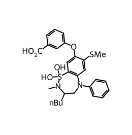 CCCCC1CN(c2ccccc2)c2cc(SC)c(Oc3cccc(C(=O)O)c3)cc2S(O)(O)N1C